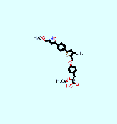 CCO[C@@H](Cc1ccc(OCc2sc(-c3ccc(-c4cc(COC)no4)cc3)cc2C)cc1)C(=O)O